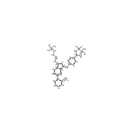 CC1(C)OB(c2ccc(Sc3cn(COCC[Si](C)(C)C)c4cnc(-c5ccccc5C(F)(F)F)nc34)cc2)OC1(C)C